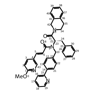 COc1ccc(C=CC(=O)N(Cc2ccc(-c3ccccn3)cc2)[C@@H](Cc2ccccc2)C(=O)N2CCc3ccccc3C2)cn1